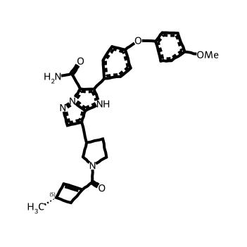 COc1ccc(Oc2ccc(-c3[nH]c4c(C5CCN(C(=O)C6=C[C@@H](C)C6)C5)cnn4c3C(N)=O)cc2)cc1